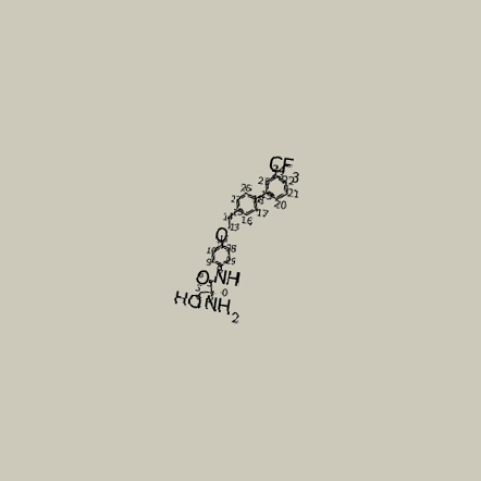 C[C@](N)(CO)C(=O)Nc1ccc(OCCc2ccc(-c3cccc(C(F)(F)F)c3)cc2)cc1